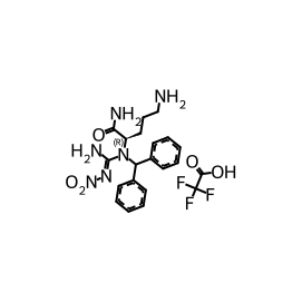 NCCC[C@H](C(N)=O)N(C(N)=N[N+](=O)[O-])C(c1ccccc1)c1ccccc1.O=C(O)C(F)(F)F